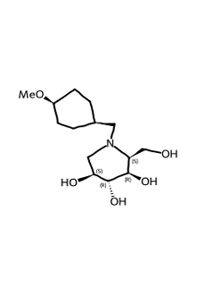 CO[C@H]1CC[C@@H](CN2C[C@H](O)[C@@H](O)[C@H](O)[C@@H]2CO)CC1